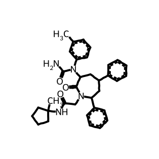 Cc1cccc(N(C(N)=O)C2CC(c3ccccc3)CC(c3ccccc3)N(CC(=O)NC3(C)CCCC3)C2=O)c1